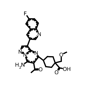 COCC1(C(=O)O)CCC(c2nc3c(-c4cnc5ccc(F)cc5c4)cnn3c(N)c2C(C)=O)CC1